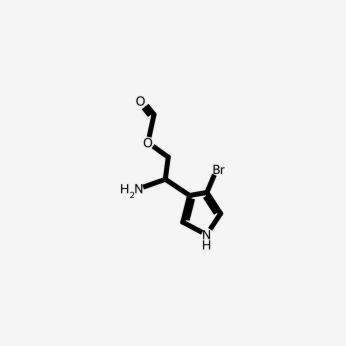 NC(COC=O)c1c[nH]cc1Br